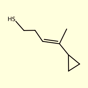 CC(=CCCS)C1CC1